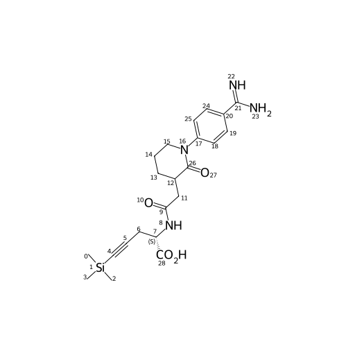 C[Si](C)(C)C#CC[C@H](NC(=O)CC1CCCN(c2ccc(C(=N)N)cc2)C1=O)C(=O)O